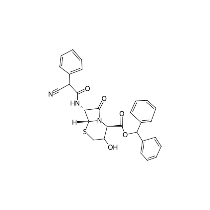 N#CC(C(=O)N[C@@H]1C(=O)N2[C@@H]1SCC(O)[C@@H]2C(=O)OC(c1ccccc1)c1ccccc1)c1ccccc1